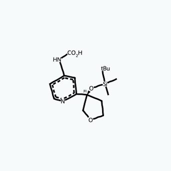 CC(C)(C)[Si](C)(C)O[C@@]1(c2cc(NC(=O)O)ccn2)CCOC1